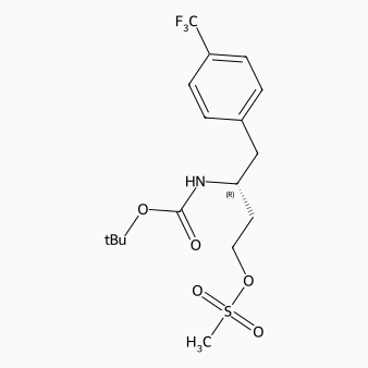 CC(C)(C)OC(=O)N[C@@H](CCOS(C)(=O)=O)Cc1ccc(C(F)(F)F)cc1